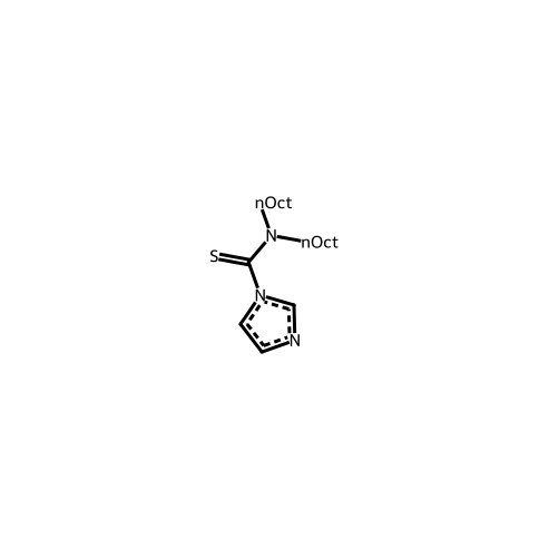 CCCCCCCCN(CCCCCCCC)C(=S)n1ccnc1